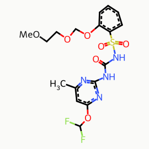 COCCOCOc1ccccc1S(=O)(=O)NC(=O)Nc1nc(C)cc(OC(F)F)n1